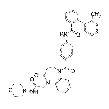 Cc1ccccc1-c1ccccc1C(=O)Nc1ccc(C(=O)N2CCC(=O)N(CC(=O)NN3CCOCC3)c3ccccc32)cc1